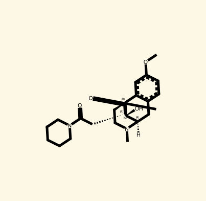 COc1ccc2c(c1)[C@]13CCN(C)[C@H](C2)[C@]1(O)C[C@H](CC(=O)N1CCCCC1)C(=O)C3